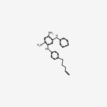 C=CCCCc1ccc(Nc2cc(Nc3ccccc3)c(N)cc2N)cc1